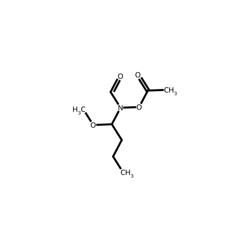 CCCC(OC)N(C=O)OC(C)=O